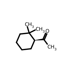 CC(=O)[C@H]1CCCCC1(C)C